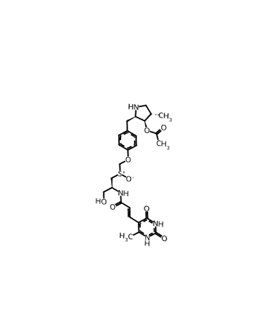 CC(=O)O[C@@H]1[C@@H](C)CN[C@@H]1Cc1ccc(OC[S+]([O-])C[C@H](CO)NC(=O)/C=C/c2c(C)[nH]c(=O)[nH]c2=O)cc1